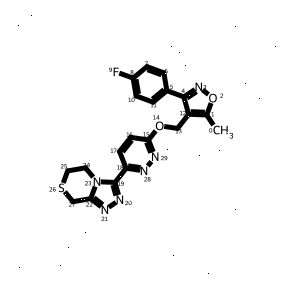 Cc1onc(-c2ccc(F)cc2)c1COc1ccc(-c2nnc3n2CCSC3)nn1